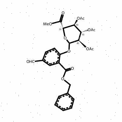 COC(=O)[C@H]1OC(Oc2ccc(C=O)cc2C(=O)OCc2ccccc2)[C@H](OC(C)=O)[C@@H](OC(C)=O)[C@@H]1OC(C)=O